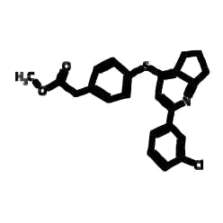 COC(=O)Cc1ccc(Sc2cc(-c3cccc(Cl)c3)nc3c2CCC3)cc1